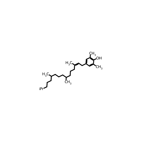 CC(=CCc1cc(C)c(O)c(C)c1)CCCC(C)CCCC(C)CCCC(C)C